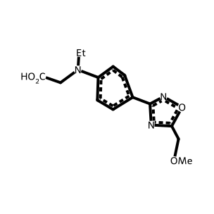 CCN(CC(=O)O)c1ccc(-c2noc(COC)n2)cc1